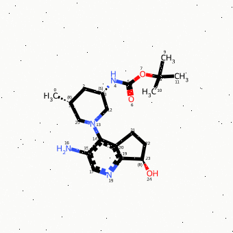 C[C@@H]1C[C@H](NC(=O)OC(C)(C)C)CN(c2c(N)cnc3c2CC[C@H]3O)C1